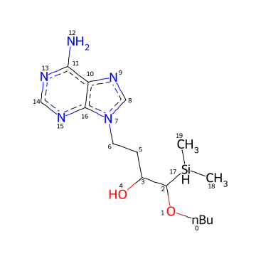 CCCCOC(C(O)CCn1cnc2c(N)ncnc21)[SiH](C)C